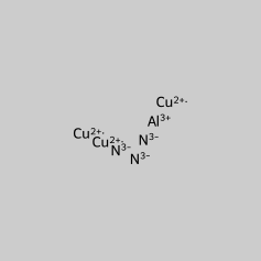 [Al+3].[Cu+2].[Cu+2].[Cu+2].[N-3].[N-3].[N-3]